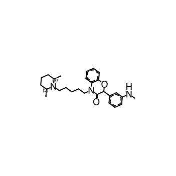 CNc1cccc(C2Oc3ccccc3N(CCCCCN3[C@H](C)CCC[C@@H]3C)C2=O)c1